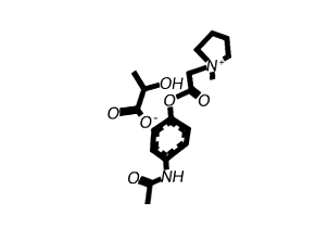 CC(=O)Nc1ccc(OC(=O)C[N+]2(C)CCCC2)cc1.CC(O)C(=O)[O-]